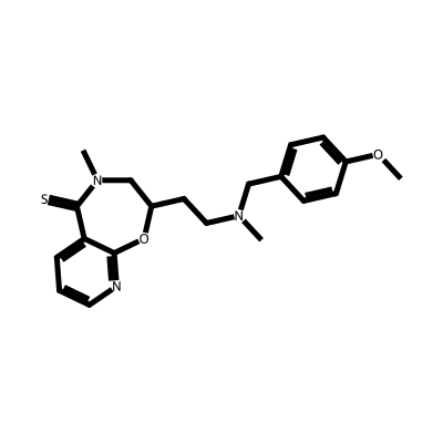 COc1ccc(CN(C)CCC2CN(C)C(=S)c3cccnc3O2)cc1